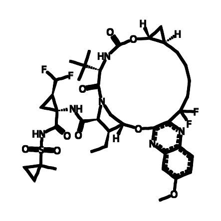 CC[C@@H]1[C@@H]2CN(C(=O)[C@H](C(C)(C)C)NC(=O)O[C@@H]3C[C@H]3CCCCC(F)(F)c3nc4ccc(OC)cc4nc3O2)[C@@H]1C(=O)N[C@]1(C(=O)NS(=O)(=O)C2(C)CC2)C[C@H]1C(F)F